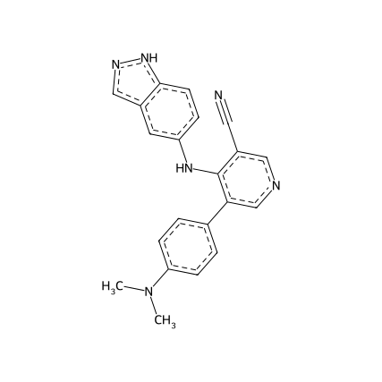 CN(C)c1ccc(-c2cncc(C#N)c2Nc2ccc3[nH]ncc3c2)cc1